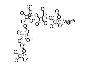 [Al+3].[Mg+2].[O-]O[Cl+3]([O-])([O-])[O-].[O-]O[Cl+3]([O-])([O-])[O-].[O-]O[Cl+3]([O-])([O-])[O-].[O-]O[Cl+3]([O-])([O-])[O-].[O-]O[Cl+3]([O-])([O-])[O-]